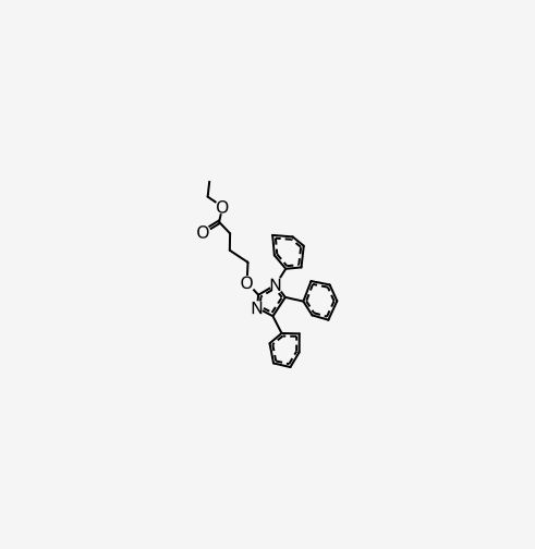 CCOC(=O)CCCOc1nc(-c2ccccc2)c(-c2ccccc2)n1-c1ccccc1